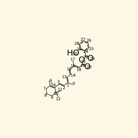 CC(C=CC1=C(C)CCCC1(C)C)=CC=CC(C)=CC(=O)OC(=O)c1ccccc1O